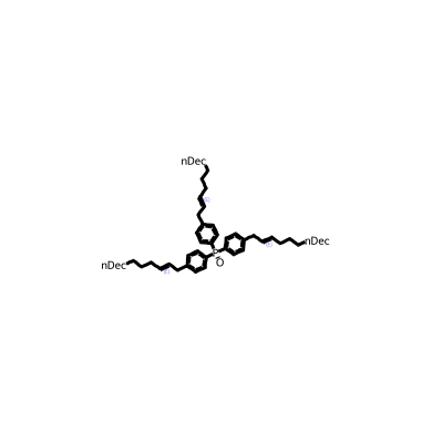 CCCCCCCCCCCCC/C=C/Cc1ccc(P(=O)(c2ccc(C/C=C/CCCCCCCCCCCCC)cc2)c2ccc(C/C=C/CCCCCCCCCCCCC)cc2)cc1